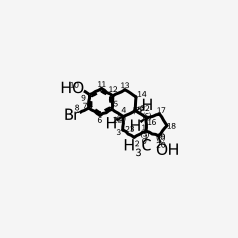 C[C@]12CC[C@@H]3c4cc(Br)c(O)cc4CC[C@H]3[C@@H]1CC[C@H]2O